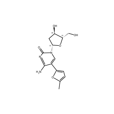 Cc1ccc(-c2cn([C@@H]3C[C@@H](O)[C@H](CO)O3)c(=O)nc2N)o1